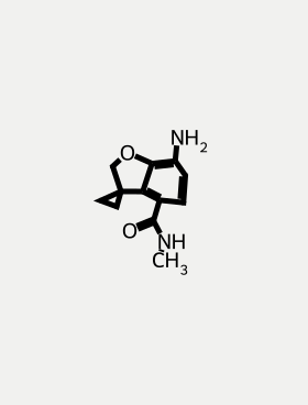 CNC(=O)c1ccc(N)c2c1C1(CC1)CO2